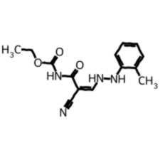 CCOC(=O)NC(=O)C(C#N)=CNNc1ccccc1C